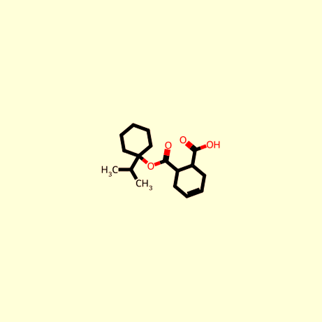 CC(C)C1(OC(=O)C2CC=CCC2C(=O)O)CCCCC1